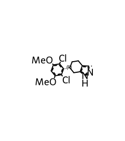 COc1cc(OC)c(Cl)c([C@@H]2CCc3[c]n[nH]c3C2)c1Cl